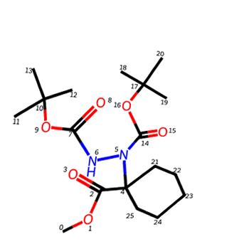 COC(=O)C1(N(NC(=O)OC(C)(C)C)C(=O)OC(C)(C)C)CCCCC1